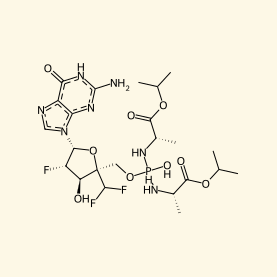 CC(C)OC(=O)[C@H](C)N[PH](O)(N[C@@H](C)C(=O)OC(C)C)OC[C@@]1(C(F)F)O[C@@H](n2cnc3c(=O)[nH]c(N)nc32)[C@@H](F)[C@@H]1O